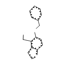 OCc1c(OCc2ccccc2)ccc2sccc12